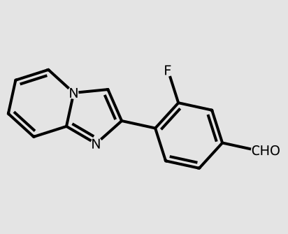 O=Cc1ccc(-c2cn3ccccc3n2)c(F)c1